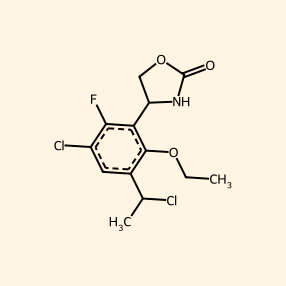 CCOc1c(C(C)Cl)cc(Cl)c(F)c1C1COC(=O)N1